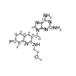 COCCNc1nc2c(C)c(F)ccc2cc1C(C)n1cnc2c(N)nc(N)nc21